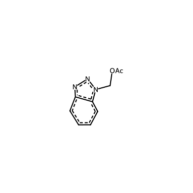 CC(=O)OCn1nnc2ccccc21